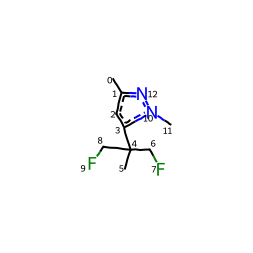 Cc1cc(C(C)(CF)CF)n(C)n1